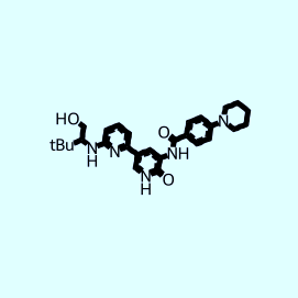 CC(C)(C)C(CO)Nc1cccc(-c2c[nH]c(=O)c(NC(=O)c3ccc(N4CCCCC4)cc3)c2)n1